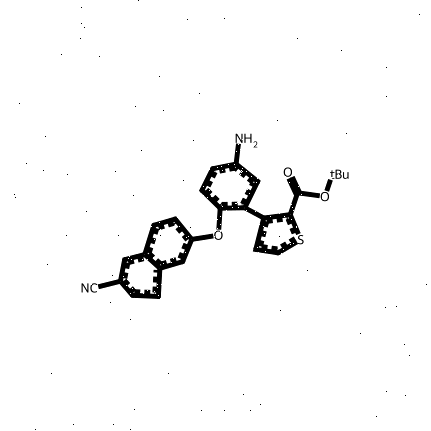 CC(C)(C)OC(=O)c1sccc1-c1cc(N)ccc1Oc1ccc2cc(C#N)ccc2c1